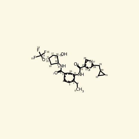 CCc1ccc(C(=O)N[C@H]2C[C@H](OC(F)(F)F)C[C@@H]2O)cc1NC(=O)c1cnc(CC2CC2)s1